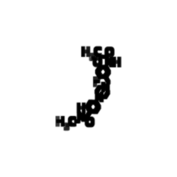 CCNC(=O)c1ccc(N2CCN(Cc3cc4c(cc3F)OC(C)C(=O)N4)CC2)cc1